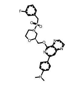 CN(C)c1ccc(-c2cc3nccnc3c(OC[C@@H]3CN(S(=O)(=O)Cc4cccc(F)c4)CCO3)n2)cc1